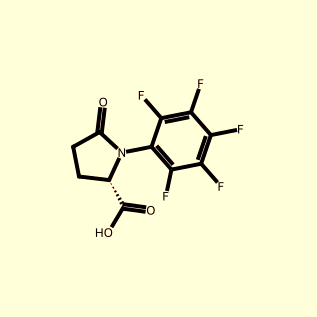 O=C(O)[C@@H]1CCC(=O)N1c1c(F)c(F)c(F)c(F)c1F